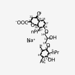 CCCc1c(O)c(C(C)=O)cc(I)c1OCC(O)COc1ccc2c(=O)cc(C(=O)[O-])oc2c1CCC.[Na+]